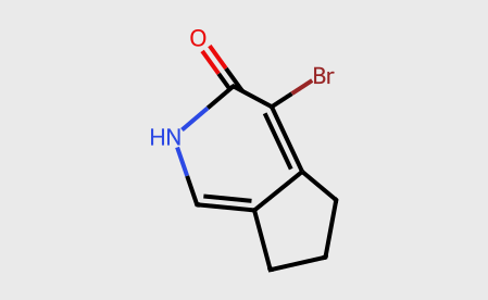 O=c1[nH]cc2c(c1Br)CCC2